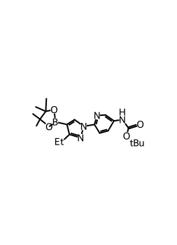 CCc1nn(-c2ccc(NC(=O)OC(C)(C)C)cn2)cc1B1OC(C)(C)C(C)(C)O1